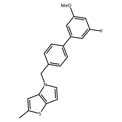 COc1cc(F)cc(-c2ccc(Cn3ccc4sc(C)cc43)cc2)c1